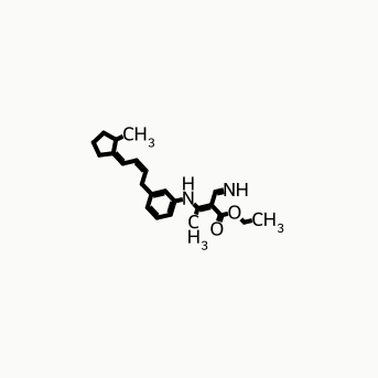 CCOC(=O)/C(C=N)=C(\C)Nc1cccc(C/C=C\C=C2\CCCC2C)c1